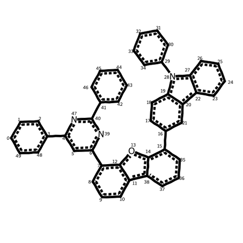 c1ccc(-c2cc(-c3cccc4c3oc3c(-c5ccc6c(c5)c5ccccc5n6-c5ccccc5)cccc34)nc(-c3ccccc3)n2)cc1